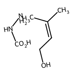 CC(C)=CCO.NNC(=O)O